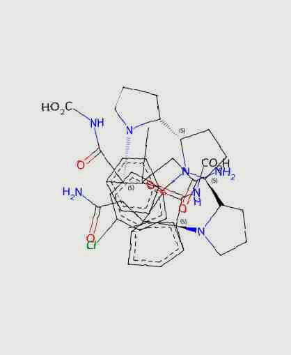 CC1(CC(N)=O)c2ccc(cc2)[C@]1(C(=O)NC(=O)O)N1CCCC1[C@@H]1CC[C@@H](C2CCCN2[C@@]2(C(=O)NC(=O)O)c3ccc(cc3)C2(C)CC(N)=O)N1c1ccc(Cl)cc1